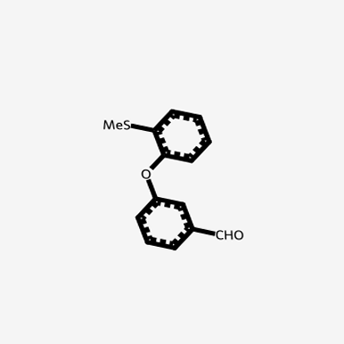 CSc1ccccc1Oc1cccc(C=O)c1